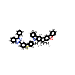 CC1(C)c2cc3oc4ccccc4c3cc2-c2cc3c4ccccc4n(-c4ccc5sc6ccc(-c7nc(-c8ccccc8)c8ccccc8n7)cc6c5c4)c3cc21